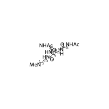 CNCCCCNC(=O)C(CCCCNC(=O)CNC(C)=O)NC(=O)CNC(C)=O